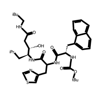 CCC(C)CNC(=O)C[C@H](O)[C@H](CC(C)C)NC(=O)C(Cc1cscn1)NC(=O)[C@H](Cc1cccc2ccccc12)NC(=O)OC(C)(C)C